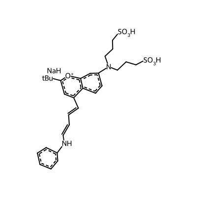 CC(C)(C)c1cc(C=CC=CNc2ccccc2)c2ccc(N(CCCS(=O)(=O)O)CCCS(=O)(=O)O)cc2[o+]1.[NaH]